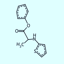 CC(Nc1cccs1)C(=O)Oc1ccccc1